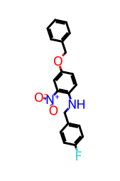 O=[N+]([O-])c1cc(OCc2ccccc2)ccc1NCc1ccc(F)cc1